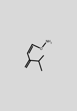 C=C(/C=C\ON)C(C)C